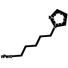 CCCCCCCCCCn1cccn1